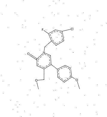 COCc1cc(=O)n(Cc2ccc(Cl)cc2F)cc1-c1ccc(OC)cc1